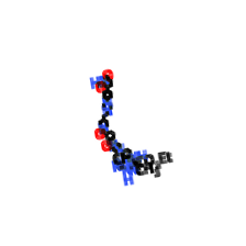 CCOC(=O)c1c(C)nc(Nc2cnn(C)c2)nc1NC1CCC(N2CCN(C(=O)[C@H]3CCCC(C(=O)N4CCC(CCN5CCN(c6ccc(C7CCC(=O)NC7=O)cc6)CC5)CC4)C3)CC2)CC1